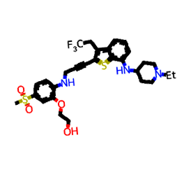 CCN1CCC(Nc2cccc3c(CC(F)(F)F)c(C#CCNc4ccc(S(C)(=O)=O)cc4OCCO)sc23)CC1